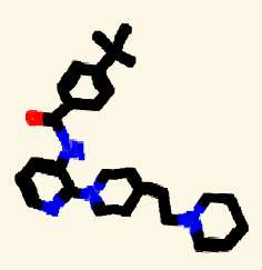 CC(C)(C)c1ccc(C(=O)Nc2cccnc2N2CCC(CCN3CCCCC3)CC2)cc1